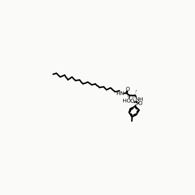 CCCCCCCCCCCCCCCCCCNC(=O)[C@H](O)[C@H](C)NS(=O)(=O)c1ccc(C)cc1